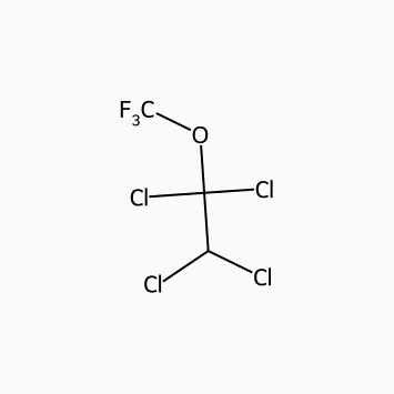 FC(F)(F)OC(Cl)(Cl)C(Cl)Cl